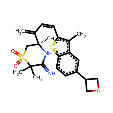 C=C(/C=C\c1sc2ccc(C3COC3)cc2c1C)[C@]1(C)CS(=O)(=O)C(C)(C)C(=N)N1